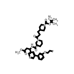 COC(=O)CC(NC(=O)[C@@H]1CCCN(C(=O)CCC2CCN(C(=O)OC(C)(C)C)CC2)C1)c1cncc(-c2cccc(OCCF)c2)c1